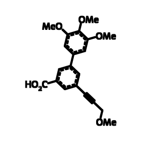 COCC#Cc1cc(C(=O)O)cc(-c2cc(OC)c(OC)c(OC)c2)c1